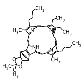 CCCCC1=C(C)c2cc3[nH]c(cc4nc(cc5[nH]c(cc1n2)c(CC)c5CC)C(CCCC)=C4C)c1c3C2C=CC1C1OC(C)(C)OC21